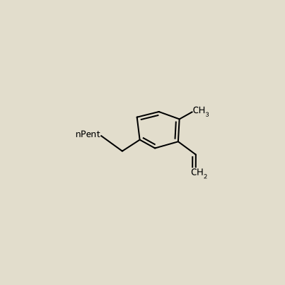 C=Cc1cc(CCCCCC)ccc1C